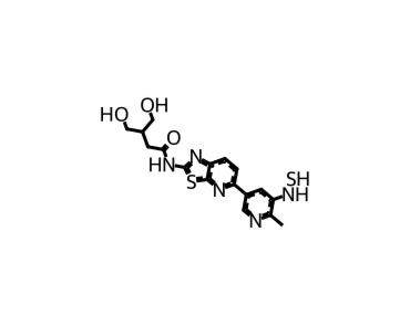 Cc1ncc(-c2ccc3nc(NC(=O)CC(CO)CO)sc3n2)cc1NS